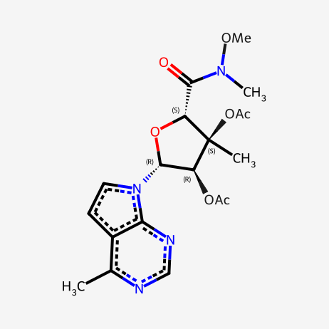 CON(C)C(=O)[C@H]1O[C@@H](n2ccc3c(C)ncnc32)[C@H](OC(C)=O)[C@]1(C)OC(C)=O